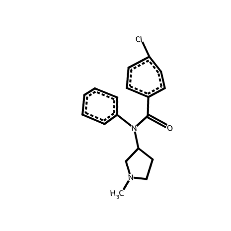 CN1CCC(N(C(=O)c2ccc(Cl)cc2)c2ccccc2)C1